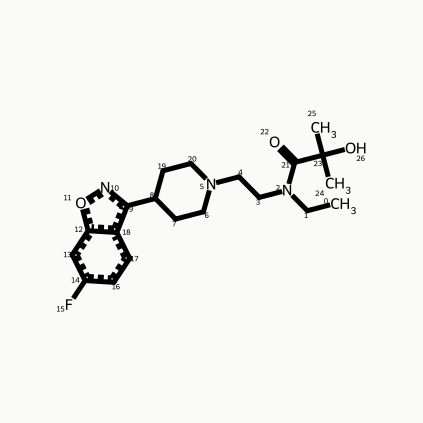 CCN(CCN1CCC(c2noc3cc(F)ccc23)CC1)C(=O)C(C)(C)O